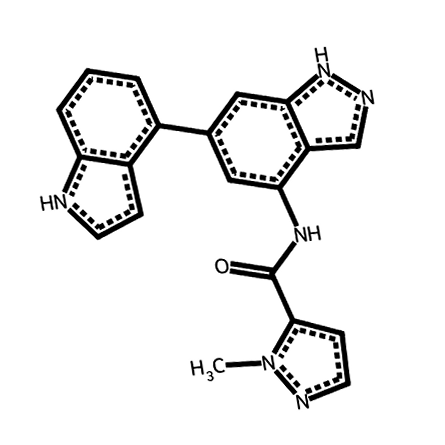 Cn1nccc1C(=O)Nc1cc(-c2cccc3[nH]ccc23)cc2[nH]ncc12